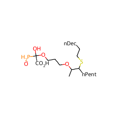 CCCCCCCCCCCCSC(CCCCC)C(C)OCCCOC(O)([PH2]=O)C(=O)O